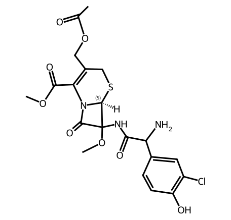 COC(=O)C1=C(COC(C)=O)CS[C@@H]2N1C(=O)C2(NC(=O)C(N)c1ccc(O)c(Cl)c1)OC